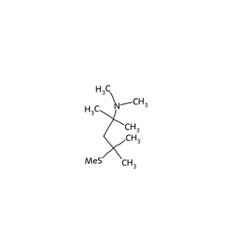 CSC(C)(C)CC(C)(C)N(C)C